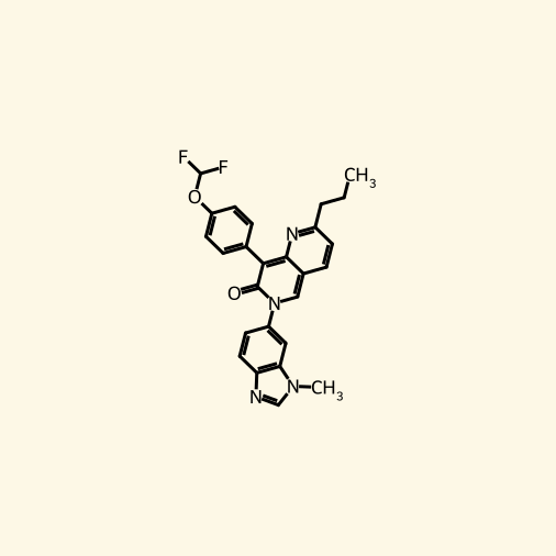 CCCc1ccc2cn(-c3ccc4ncn(C)c4c3)c(=O)c(-c3ccc(OC(F)F)cc3)c2n1